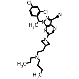 CCCCN(CCC)CCC1CN(c2cnc3c(C#N)nn([C@H](C)c4ccc(Cl)cc4Cl)c3n2)C1